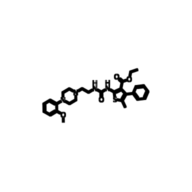 CCOC(=O)c1c(NC(=O)NCCN2CCN(c3ccccc3OC)CC2)sc(C)c1-c1ccccc1